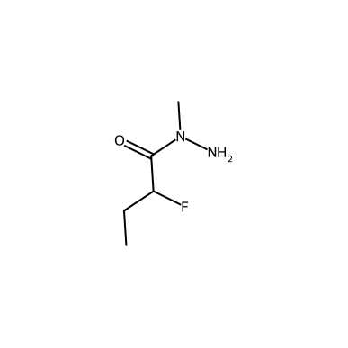 CCC(F)C(=O)N(C)N